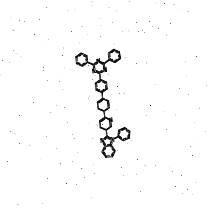 C1=CC(C2=CCC(c3nc4ccccc4n3-c3ccccc3)C=N2)CC=C1c1ccc(-c2nc(-c3ccccc3)nc(-c3ccccc3)n2)cc1